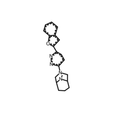 CN1C2CCCC1CN(c1ccc(-c3cc4ccccc4o3)nn1)C2